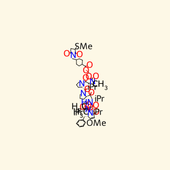 COC1=CC(=O)N(C(=O)[C@@H](OC(=O)[C@@H]2CCN(C(=O)[C@@H]3CCCN3C(=O)[C@H](C(C)C)N(C)C(=O)OCOC(=O)C3CCC(CN4C(=O)CC(SC)C4=O)CC3)[C@H]2C(=O)[C@@H](NC(=O)[C@H](C(C)C)N(C)C)C(C)C)C(C)C)[C@H]1Cc1ccccc1